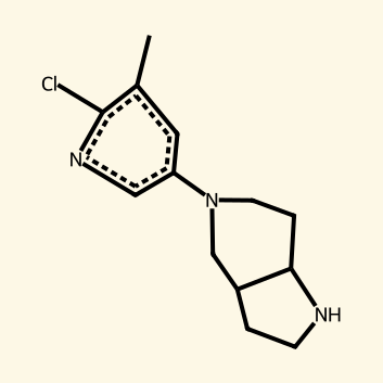 Cc1cc(N2CCC3NCCC3C2)cnc1Cl